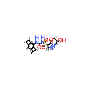 O=C(Nc1c2c(cc3c1CC3)CC2)NS(=O)(=O)c1cnn2c1OCC(O)C2